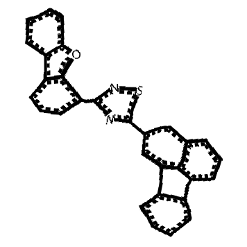 c1ccc2c(c1)-c1cccc3cc(-c4nc(-c5cccc6c5oc5ccccc56)ns4)cc-2c13